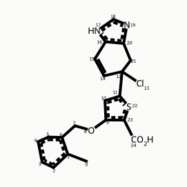 Cc1ccccc1COc1cc(C2(Cl)C=Cc3[nH]cnc3C2)sc1C(=O)O